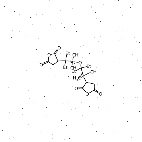 CCC(CC)(C1CC(=O)OC1=O)[Si](C)(C)OC(CC)(CC)[Si](C)(C)C1CC(=O)OC1=O